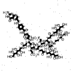 CC(C)(C)NNC(=O)OCCSSC[C@@H](NC(=O)[C@H](CCC(=O)NC[C@H](O)[C@@H](O)[C@H](O)[C@H](O)CO)NC(=O)[C@@H](CCC(=O)O)NC(=O)[C@H](CCC(=O)NC[C@H](O)[C@@H](O)[C@H](O)[C@H](O)CO)NC(=O)[C@@H](CCC(=O)O)NC(=O)[C@H](CCC(=O)NC[C@H](O)[C@@H](O)[C@H](O)[C@H](O)CO)NC(=O)CC[C@H](NC(=O)c1ccc(NCc2cnc3nc(N)[nH]c(=O)c3n2)cc1)C(=O)O)C(=O)O